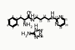 N[C@@H](Cc1ccccc1)C(=O)NCCCCNc1ncccn1.Nc1nnn[nH]1